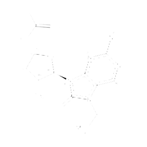 CCC(=O)O[C@H]1C[C@@H](OC(C)=O)[C@H](n2c(=O)n(CSC)c3cnc(N)nc32)O1